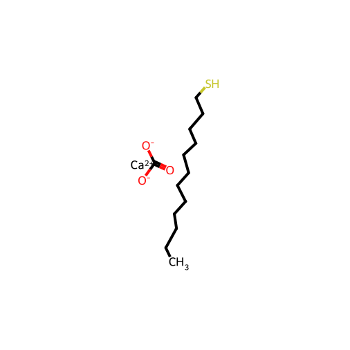 CCCCCCCCCCCCS.O=C([O-])[O-].[Ca+2]